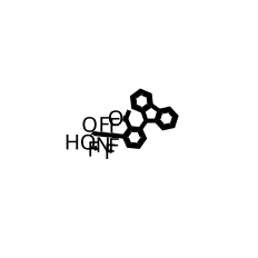 CC(=O)c1c(C2c3ccccc3-c3ccccc32)cccc1C(F)(F)[C@@](F)(C(=O)O)N(F)F